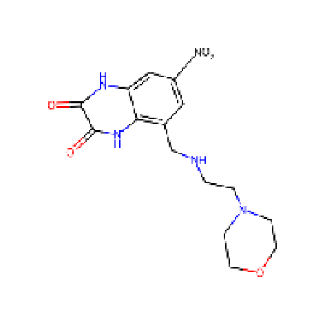 O=c1[nH]c2cc([N+](=O)[O-])cc(CNCCN3CCOCC3)c2[nH]c1=O